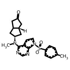 Cc1ccc(S(=O)(=O)n2ccc3c(N(C)[C@H]4CC5CC(=O)C[C@@H]5C4)ncnc32)cc1